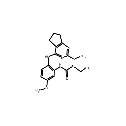 CCOC(=O)Nc1cc(OC)ccc1Nc1nc(SC)nc2c1CCC2